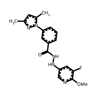 COc1ncc(NNC(=O)c2cccc(-n3nc(C)cc3C)c2)cc1F